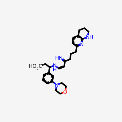 N=C(/C=C\NC(CC(=O)O)c1cccc(N2CCOCC2)c1)CCCc1ccc2c(n1)NCCC2